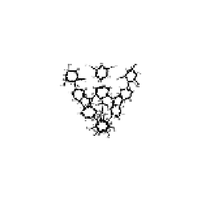 Cc1cc(C)c(-c2ccc3c4ccc(-c5c(C)cc(C)cc5C)cc4n(-c4cc(-c5cc(F)cc(F)c5)cc(-n5c6cc(-c7c(C)cc(C)cc7C)ccc6c6ccc(-c7c(C)cc(C)cc7C)cc65)c4C(F)(F)F)c3c2)c(C)c1